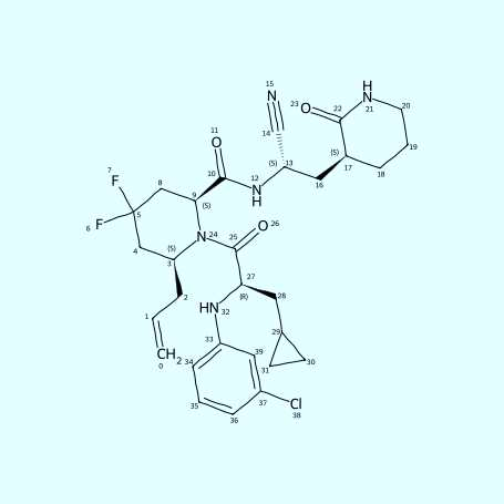 C=CC[C@H]1CC(F)(F)C[C@@H](C(=O)N[C@H](C#N)C[C@@H]2CCCNC2=O)N1C(=O)[C@@H](CC1CC1)Nc1cccc(Cl)c1